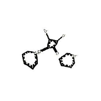 O=c1c([O-])c([O-])c1=O.c1cc[se+]cc1.c1cc[se+]cc1